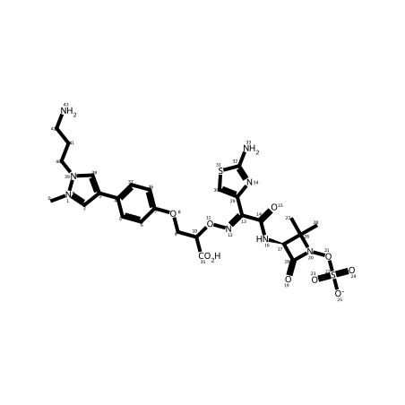 C[n+]1cc(-c2ccc(OCC(O/N=C(/C(=O)N[C@@H]3C(=O)N(OS(=O)(=O)[O-])C3(C)C)c3csc(N)n3)C(=O)O)cc2)cn1CCCN